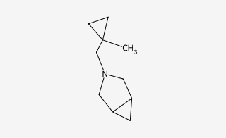 CC1(CN2CC3CC3C2)CC1